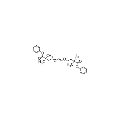 CC(C)(CCO/C=C/OCCC(C)(C)C(=O)Oc1ccccc1)C(=O)Oc1ccccc1